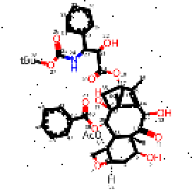 CC(=O)O[C@@]12CO[C@@H]1C[C@H](O)[C@@]1(C)C(=O)[C@H](O)C3=C(C)[C@@H](OC(=O)C(O)C(NC(=O)OC(C)(C)C)c4ccccc4)C[C@@](O)([C@@H](OC(=O)c4ccccc4)C12)C3(C)C